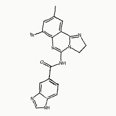 Cc1cc(Br)c2c(c1)C1=NCCN1C(NC(=O)c1ccc3[nH]cnc3c1)=N2